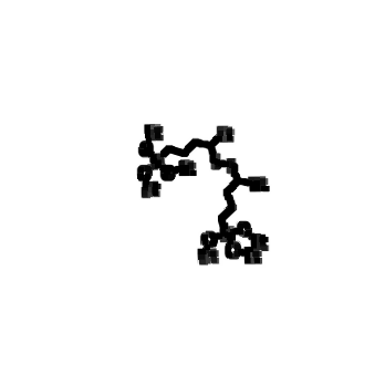 CCO[Si](CCCC(CC)SSC(CC)CCC[Si](OCC)(OCC)OCC)(OCC)OCC